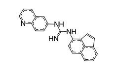 N=C(Nc1ccc2ncccc2c1)Nc1ccc2cccc3c2c1C=C3